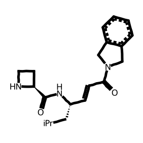 CC(C)C[C@@H](/C=C/C(=O)N1Cc2ccccc2C1)NC(=O)[C@@H]1CCN1